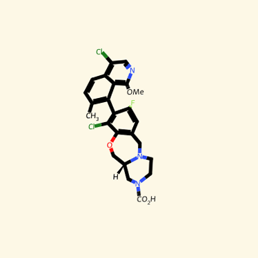 COc1ncc(Cl)c2ccc(C)c(-c3c(F)cc4c(c3Cl)OC[C@H]3CN(C(=O)O)CCN3C4)c12